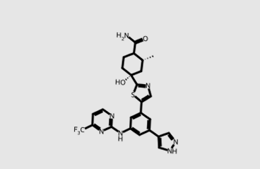 C[C@@H]1C[C@@](O)(c2ncc(-c3cc(Nc4nccc(C(F)(F)F)n4)cc(-c4cn[nH]c4)c3)s2)CCC1C(N)=O